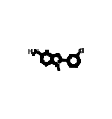 Cn1c(-c2cccc(Cl)c2)cc2nc(N)c[c]c21